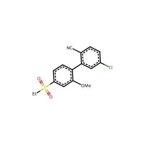 CCS(=O)(=O)c1ccc(-c2cc(Cl)ccc2C#N)c(OC)c1